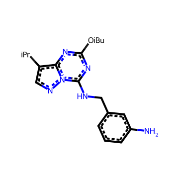 CC(C)COc1nc(NCc2cccc(N)c2)n2ncc(C(C)C)c2n1